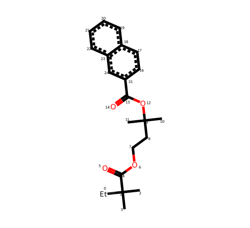 CCC(C)(C)C(=O)OCCC(C)(C)OC(=O)c1ccc2ccccc2c1